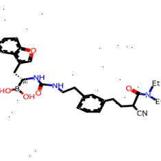 CCN(CC)C(=O)C(C#N)CCc1cccc(CCNC(=O)N[C@@H](Cc2coc3ccccc23)B(O)O)c1